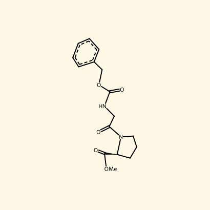 COC(=O)[C@@H]1CCCN1C(=O)CNC(=O)OCc1ccccc1